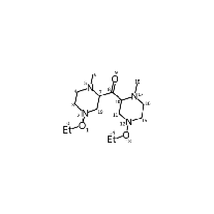 CCON1CCN(C)C(C(=O)C2CN(OCC)CCN2C)C1